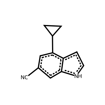 N#Cc1cc(C2CC2)c2cc[nH]c2c1